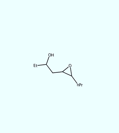 CCCC1OC1CC(O)CC